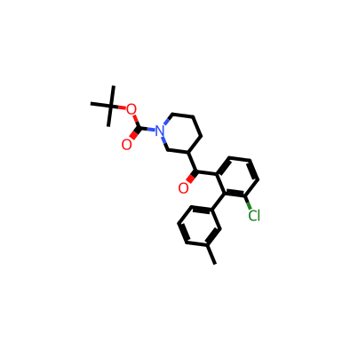 Cc1cccc(-c2c(Cl)cccc2C(=O)C2CCCN(C(=O)OC(C)(C)C)C2)c1